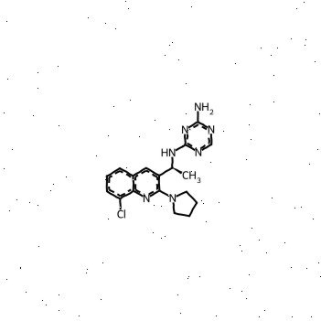 C[C@H](Nc1ncnc(N)n1)c1cc2cccc(Cl)c2nc1N1CCCC1